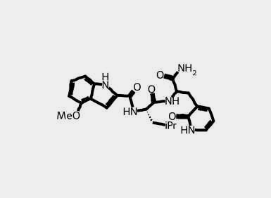 COc1cccc2[nH]c(C(=O)N[C@@H](CC(C)C)C(=O)NC(Cc3ccc[nH]c3=O)C(N)=O)cc12